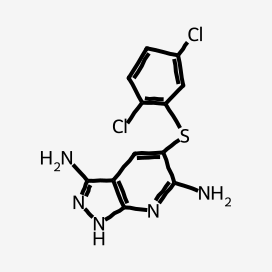 Nc1nc2[nH]nc(N)c2cc1Sc1cc(Cl)ccc1Cl